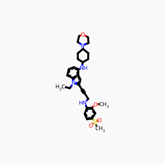 CCn1c(C#CCNc2ccc(S(C)(=O)=O)cc2OC)cc2c(NC3CCC(N4CCOCC4)CC3)cccc21